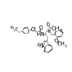 CCc1ccc(OCC(=O)NC(Cc2c[nH]c3ccccc23)CN(Cc2ccccc2OC)C(C)=O)cc1